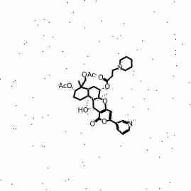 CC(=O)OCC1(C)C2C[C@H](OC(=O)CCN3CCCCC3)[C@@]3(C)Oc4cc(-c5cccnc5)oc(=O)c4[C@H](O)C3[C@@]2(C)CC[C@@H]1OC(C)=O